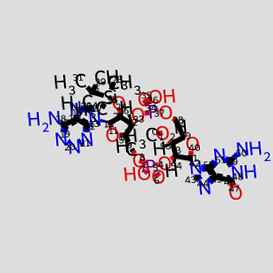 CO[C@H]1[C@H]2OP(=O)(O)OC[C@H]3O[C@@H](n4cnc5c(N)nnnc54)C(O[Si](C)(C)C(C)(C)C)[C@@H]3OP(=O)(O)OC[C@H]1O[C@H]2n1cnc2c(=O)[nH]c(N)nc21